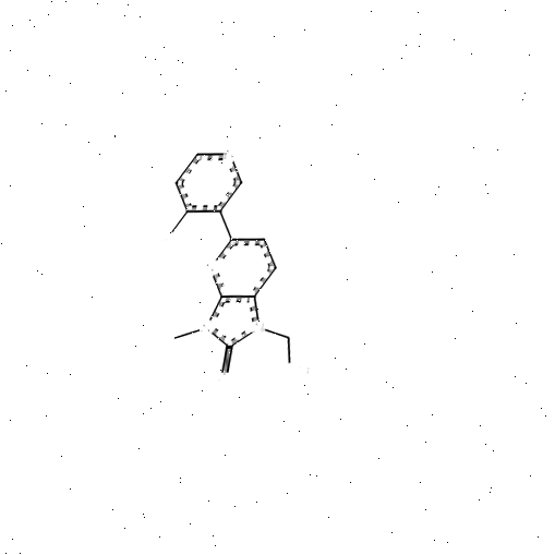 Cn1c(=O)n(CC(C)(C)C)c2ccc(-c3cnccc3F)nc21